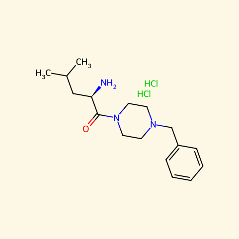 CC(C)C[C@@H](N)C(=O)N1CCN(Cc2ccccc2)CC1.Cl.Cl